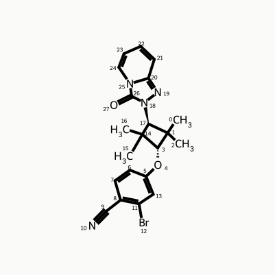 CC1(C)[C@H](Oc2ccc(C#N)c(Br)c2)C(C)(C)[C@H]1n1nc2ccccn2c1=O